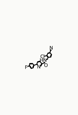 N#Cc1ccc(CNC(=O)c2ccc(-c3ccc(F)cc3)nc2)c(Cl)c1